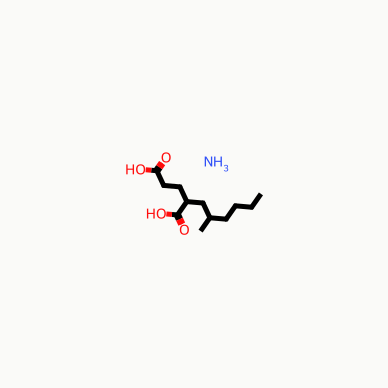 CCCCC(C)CC(CCC(=O)O)C(=O)O.N